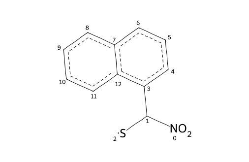 O=[N+]([O-])C([S])c1cccc2ccccc12